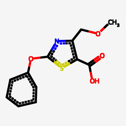 COCc1nc(Oc2ccccc2)sc1C(=O)O